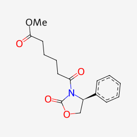 COC(=O)CCCCC(=O)N1C(=O)OC[C@@H]1c1ccccc1